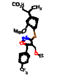 CCOCc1c(Sc2ccc(C(C)CC(=O)O)cc2OC)noc1-c1ccc(C(F)(F)F)cc1